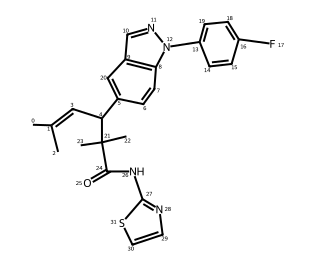 CC(C)=CC(c1ccc2c(cnn2-c2ccc(F)cc2)c1)C(C)(C)C(=O)Nc1nccs1